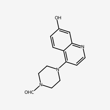 O=CN1CCN(c2ccnc3cc(O)ccc23)CC1